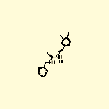 Cc1ccc(C=NNC(=N)NCc2ccccc2)cc1C.I